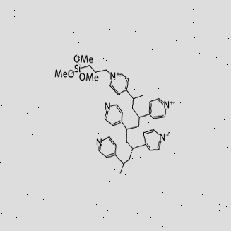 CO[Si](CCC[n+]1ccc(C(C)CC(CC(CC(CC(C)c2ccncc2)c2cc[n+](C)cc2)c2ccncc2)c2cc[n+](C)cc2)cc1)(OC)OC